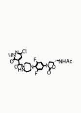 CC(=O)NC[C@H]1CN(c2cc(F)c(N3CCNN(C(=O)c4cc(Cl)n[nH]c4=O)CC3)c(F)c2)C(=O)O1